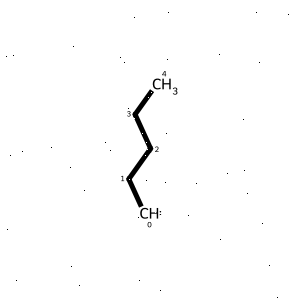 [CH]C[CH]CC